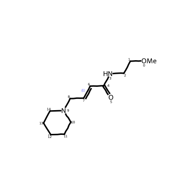 COCCNC(=O)/C=C/CN1CC[CH]CC1